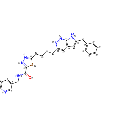 O=C(NCc1cccnc1)c1nnc(CCCCc2cc3cc(Cc4ccccc4)[nH]c3nn2)s1